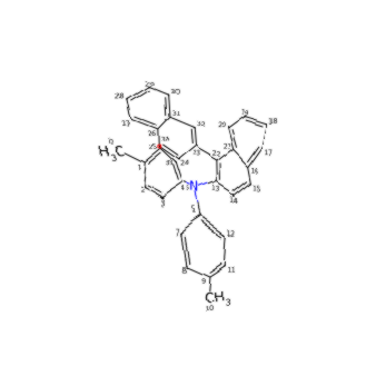 Cc1ccc(N(c2ccc(C)cc2)c2ccc3ccccc3c2-c2ccc3ccccc3c2)cc1